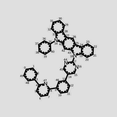 c1ccc(-c2cccc(-c3cccc(-c4cnc(-n5c6ccccc6c6cc7c8ccccc8n(-c8ccccc8)c7cc65)nc4)c3)n2)cc1